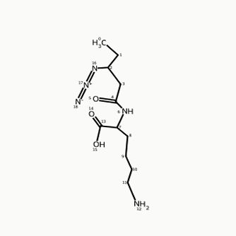 CCC(CC(=O)NC(CCCCN)C(=O)O)N=[N+]=[N-]